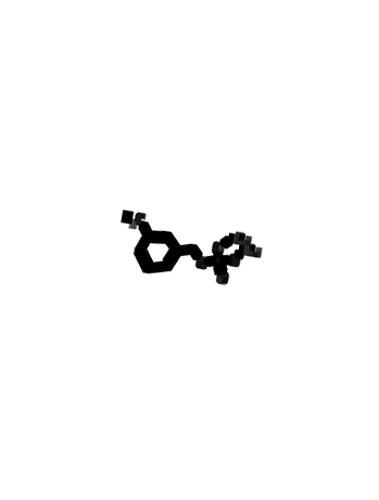 CCCCOP(=O)(OCCCC)OCc1cccc(C)c1